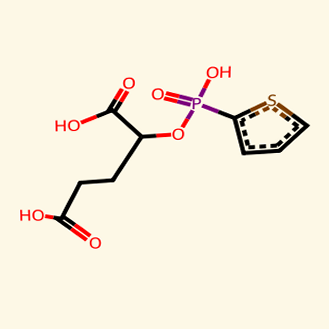 O=C(O)CCC(OP(=O)(O)c1cccs1)C(=O)O